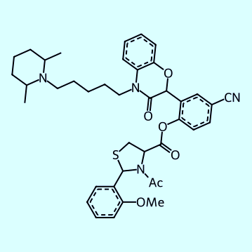 COc1ccccc1C1SCC(C(=O)Oc2ccc(C#N)cc2C2Oc3ccccc3N(CCCCCN3C(C)CCCC3C)C2=O)N1C(C)=O